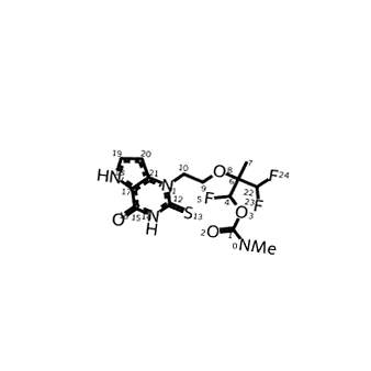 CNC(=O)OC(F)C(C)(OCCn1c(=S)[nH]c(=O)c2[nH]ccc21)C(F)F